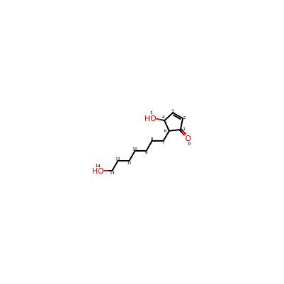 O=C1C=CC(O)C1CCCCCCCO